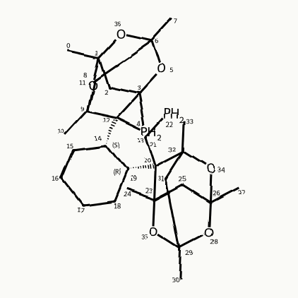 CC12CC3(C)OC(C)(CC(C)(O1)C3(P)[C@H]1CCCC[C@H]1C1(CP)C3(C)CC4(C)OC(C)(CC1(C)O4)O3)O2